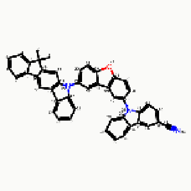 CC1(C)c2ccccc2-c2cc3c4ccccc4n(-c4ccc5oc6ccc(-n7c8ccccc8c8cc(C#N)ccc87)cc6c5c4)c3cc21